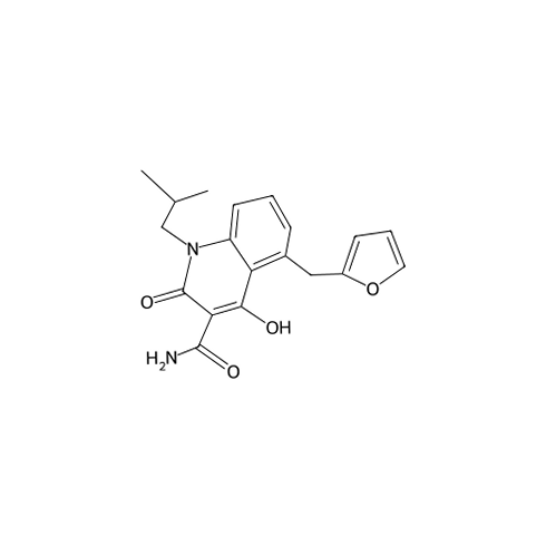 CC(C)Cn1c(=O)c(C(N)=O)c(O)c2c(Cc3ccco3)cccc21